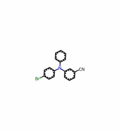 N#Cc1cccc(N(c2ccccc2)c2ccc(Br)cc2)c1